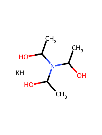 CC(O)N(C(C)O)C(C)O.[KH]